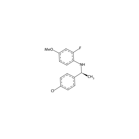 COc1ccc(N[C@@H](C)c2ccc(Cl)cc2)c(F)c1